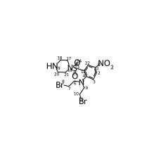 O=[N+]([O-])c1ccc(N(CCBr)CCBr)c(S(=O)(=O)N2CCNCC2)c1